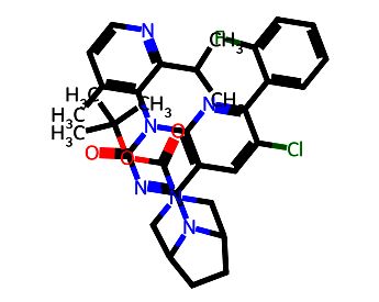 Cc1ccnc(C(C)C)c1-n1c(=O)nc(N2C3CCC2CN(C(=O)OC(C)(C)C)C3)c2cc(Cl)c(-c3ccccc3F)nc21